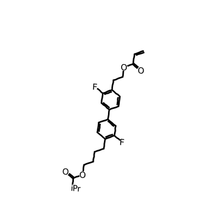 C=CC(=O)OCCc1ccc(-c2ccc(CCCCOC(=O)C(C)C)c(F)c2)cc1F